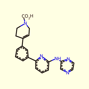 O=C(O)N1CC=C(c2cccc(-c3cccc(Nc4cnccn4)n3)c2)CC1